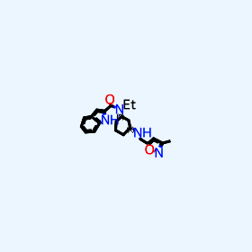 CCN(C(=O)c1cc2ccccc2[nH]1)[C@H]1CCC[C@@H](NCc2cc(C)no2)C1